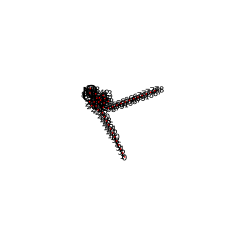 CCCCCCCCCCCCCCCCCCCCCCCC#CCCc1ccccc1C1=C(CCCC)C(CCCC)=C(c2ccccc2CCC#CCCCCCCCCCCCCCCCCCCCCCCCC)[N+]1=[N-].C[O][Ni][O]C